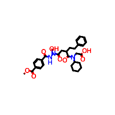 COC(=O)c1ccc(C(=O)NN(O)C(=O)CC(CCc2ccccc2)C(=O)N(CC(=O)O)C2CCCCC2)cc1